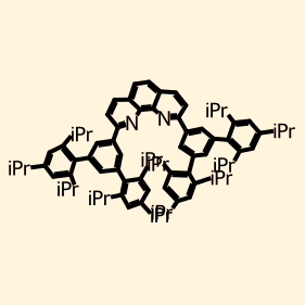 CC(C)c1cc(C(C)C)c(-c2cc(-c3ccc4ccc5ccc(-c6cc(-c7c(C(C)C)cc(C(C)C)cc7C(C)C)cc(-c7c(C(C)C)cc(C(C)C)cc7C(C)C)c6)nc5c4n3)cc(-c3c(C(C)C)cc(C(C)C)cc3C(C)C)c2)c(C(C)C)c1